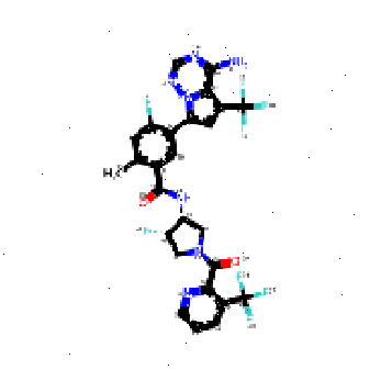 Cc1cc(F)c(-c2cc(C(F)(F)F)c3c(N)ncnn23)cc1C(=O)N[C@@H]1CN(C(=O)c2ncccc2C(F)(F)F)C[C@@H]1F